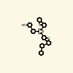 N#Cc1cccc(-c2cccc(-c3nc(-c4ccc5c(c4)oc4cccc(-c6cccc(-c7ccccc7)c6)c45)nc(-c4cccc5c4sc4ccccc45)n3)c2)c1